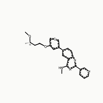 CNc1nc(-c2cccnc2)nc2ccc(-c3cccc(OCC[C@H](C)OC)c3)cc12